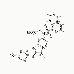 CCOC(=O)CN(c1ccc2c(c1)nc(Cc1ccc(C#N)cc1)n2C)S(=O)(=O)c1cccc2cnccc12